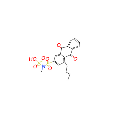 CCCCc1cc(S(=O)(=O)N(C)S(=O)(=O)O)cc2c1C(=O)c1ccccc1C2=O